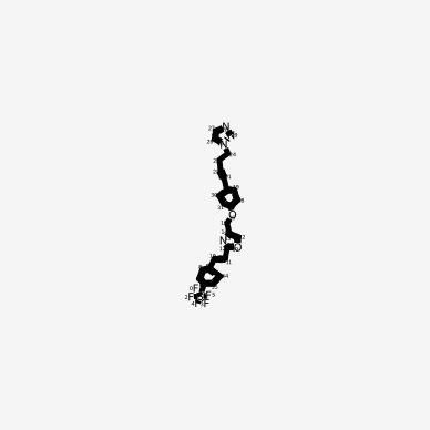 FS(F)(F)(F)(F)c1ccc(C=Cc2nc(COc3ccc(C#CCCn4ccnn4)cc3)co2)cc1